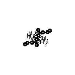 Cc1ccccc1N(c1ccc(-c2ccc3ccccc3c2)cc1)c1cc(C)c(-c2c(C)cc(N(c3ccc(-c4ccc5ccccc5c4)cc3)c3ccccc3C)cc2C)c(C)c1